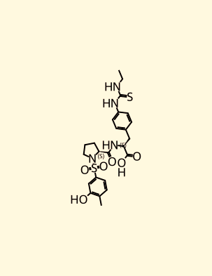 CCNC(=S)Nc1ccc(C[C@H](NC(=O)[C@@H]2CCCN2S(=O)(=O)c2ccc(C)c(O)c2)C(=O)O)cc1